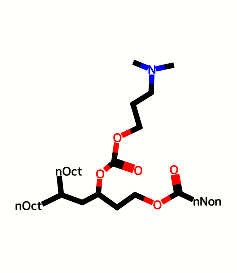 CCCCCCCCCC(=O)OCCC(CC(CCCCCCCC)CCCCCCCC)OC(=O)OCCCN(C)C